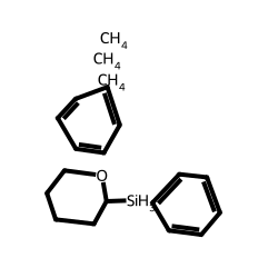 C.C.C.[SiH3]C1CCCCO1.c1ccccc1.c1ccccc1